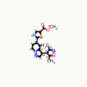 COC(=O)c1cnc(-c2ccn3ncc(-c4c(C)noc4C)c3c2)s1